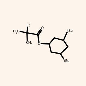 CCC(C)(C)C(=O)OC1CC(C(C)(C)C)CC(C(C)(C)C)C1